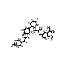 COc1ncc(NC(=O)C(=O)N2C[C@@H](C)CC[C@@H]2c2ccc3sc(CC4CCN(C)CC4)nc3c2)cc1C(N)=O